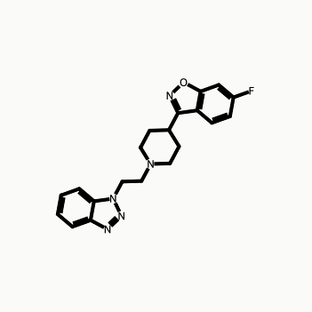 Fc1ccc2c(C3CCN(CCn4nnc5ccccc54)CC3)noc2c1